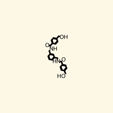 O=C(NCc1cccc(CNC(=O)c2ccc(CO)cc2)c1)c1ccc(CO)cc1